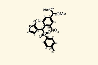 COC(OC)c1ccc(C(c2ccsc2C#N)S(=O)(=O)c2ccc(C)cc2)c([N+](=O)[O-])c1